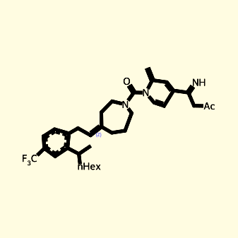 C=C1C=C(C(=N)CC(C)=O)C=CN1C(=O)N1CCC/C(=C/Cc2ccc(C(F)(F)F)cc2C(C)CCCCCC)CC1